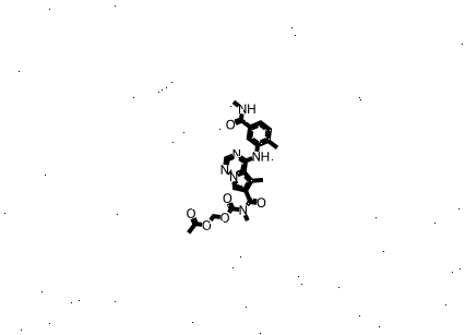 CNC(=O)c1ccc(C)c(Nc2ncnn3cc(C(=O)N(C)C(=O)OCOC(C)=O)c(C)c23)c1